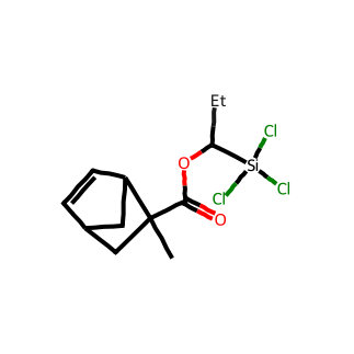 CCC(OC(=O)C1(C)CC2C=CC1C2)[Si](Cl)(Cl)Cl